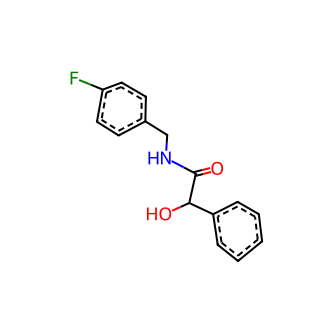 O=C(NCc1ccc(F)cc1)C(O)c1ccccc1